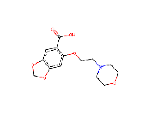 O=C(O)c1cc2c(cc1OCCN1CCOCC1)OCO2